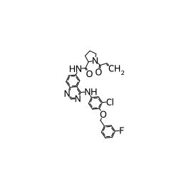 C=CC(=O)N1CCCC1C(=O)Nc1ccc2ncnc(Nc3ccc(OCc4cccc(F)c4)c(Cl)c3)c2c1